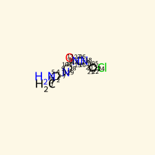 C=C/C=C(\C=C/N)CN1CCC(C(=O)N2CCN(Cc3cccc(Cl)c3)CC2)CC1